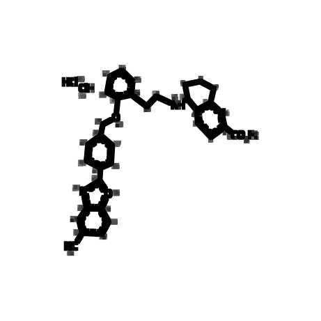 CCOC(=O)c1ccc2c(n1)CCCC2NCCc1ccccc1OCc1ccc(-c2nc3cc(C#N)ccc3o2)cc1.Cl.Cl